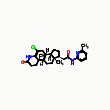 Cc1cccc(NC(=O)C[C@H]2CC[C@H]3[C@@H]4CC(Cl)=C5NC(=O)CC[C@]5(C)[C@H]4CC[C@]23C)n1